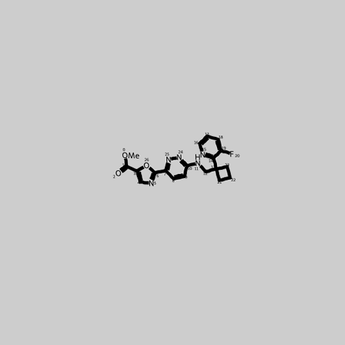 COC(=O)c1cnc(-c2ccc(NCC3(c4ncccc4F)CCC3)nn2)o1